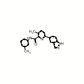 Cc1cccc(NC(=O)c2nc(-c3ccc4[nH]ncc4c3)ccc2C)c1